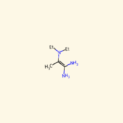 CCN(CC)C(C)=C(N)N